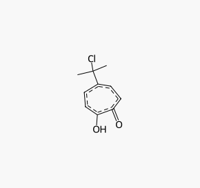 CC(C)(Cl)c1ccc(O)c(=O)cc1